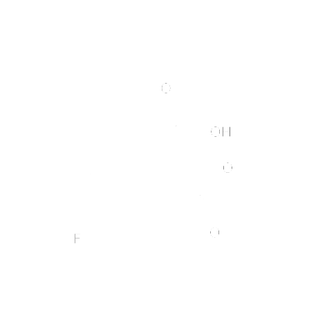 COC(=O)C1CC(F)CCC1C(=O)O